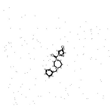 O=C(N1CCCN(Cc2ccccc2)CC1)n1cc(Cl)cn1